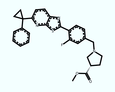 COC(=O)[C@H]1CCN(Cc2ccc(-c3nc4ccc(C5(c6ccccc6)CC5)nc4s3)c(F)c2)C1